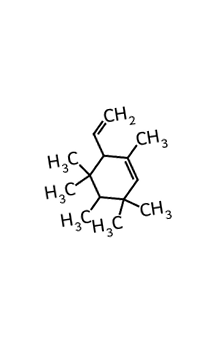 C=CC1C(C)=CC(C)(C)C(C)C1(C)C